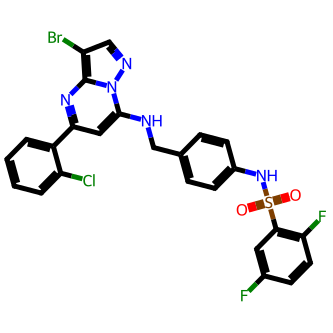 O=S(=O)(Nc1ccc(CNc2cc(-c3ccccc3Cl)nc3c(Br)cnn23)cc1)c1cc(F)ccc1F